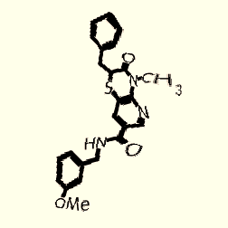 COc1cccc(CNC(=O)c2cnc3c(c2)SC(Cc2ccccc2)C(=O)N3C)c1